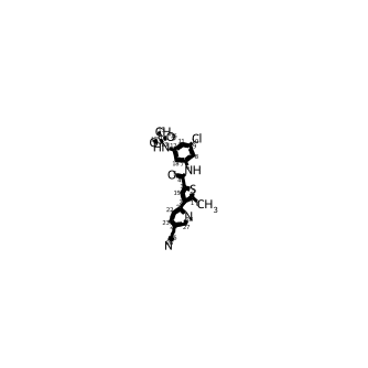 Cc1sc(C(=O)Nc2cc(Cl)cc(NS(C)(=O)=O)c2)cc1-c1ccc(C#N)cn1